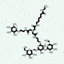 CCNC(=O)CCCCCNC(=O)CN(CC(=O)NCCO[C@@H]1O[C@@H](C)[C@@H](O)[C@@H](O)[C@@H]1O)CC(=O)NCCO[C@@H]1O[C@H](OC[C@H]2O[C@H](CO)[C@@H](O)[C@H](O)[C@@H]2O)[C@@H](O)[C@H](O[C@H]2O[C@H](CO)[C@@H](O)[C@H](O)[C@@H]2O)[C@H]1O